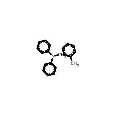 CN(c1ccccc1)c1ccccc1.Cc1ccccc1